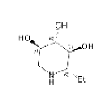 CC[C@@H]1NC[C@@H](O)[C@H](O)[C@H]1O